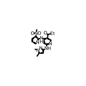 CCC(=O)c1cnc(Nc2cc(C)n(C)n2)cc1Nc1ncccc1S(C)(=O)=O